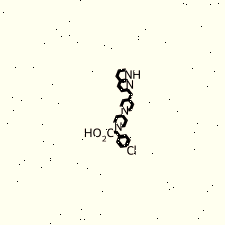 O=C(O)C(c1ccc(Cl)cc1)N1CCC(N2CCC(Cc3ccc4c(n3)NCCC4)CC2)CC1